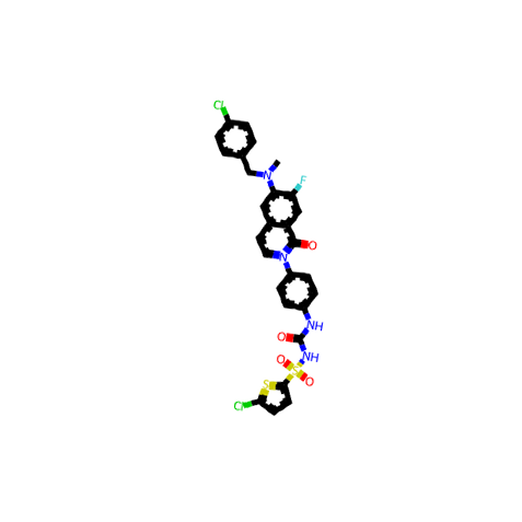 CN(Cc1ccc(Cl)cc1)c1cc2ccn(-c3ccc(NC(=O)NS(=O)(=O)c4ccc(Cl)s4)cc3)c(=O)c2cc1F